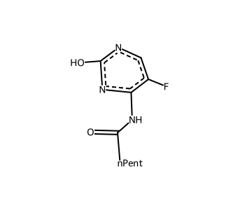 CCCCCC(=O)Nc1nc(O)ncc1F